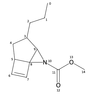 CCCC1CC2C=CC23C1N3C(=O)OC